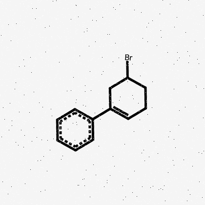 BrC1CCC=C(c2ccccc2)C1